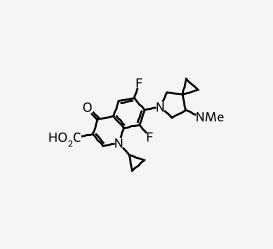 CNC1CN(c2c(F)cc3c(=O)c(C(=O)O)cn(C4CC4)c3c2F)CC12CC2